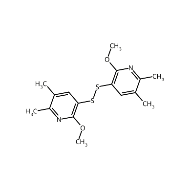 COc1nc(C)c(C)cc1SSc1cc(C)c(C)nc1OC